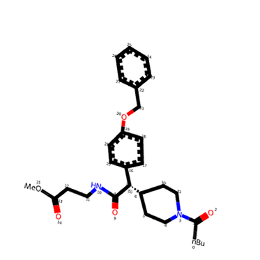 CCCCC(=O)N1CCC([C@H](C(=O)NCCC(=O)OC)c2ccc(OCc3ccccc3)cc2)CC1